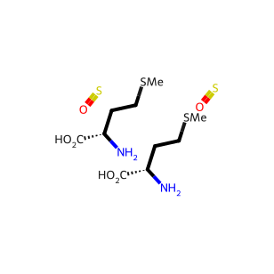 CSCC[C@H](N)C(=O)O.CSCC[C@H](N)C(=O)O.O=S.O=S